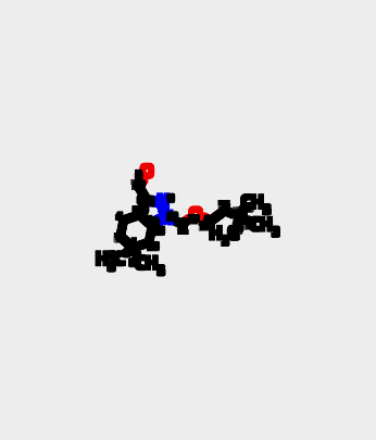 CC1(C)CCc2c(C=O)nn(COCC[Si](C)(C)C)c2C1